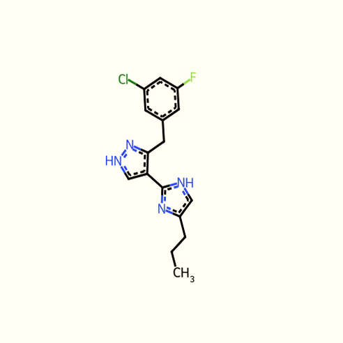 CCCc1c[nH]c(-c2c[nH]nc2Cc2cc(F)cc(Cl)c2)n1